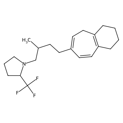 CC(CCC1=CCC2=C(C=C1)CCCC2)CN1CCCC1C(F)(F)F